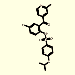 Cc1cc(C(=O)c2cc(Cl)ccc2NS(=O)(=O)c2ccc(OC(C)C)cc2)ccn1